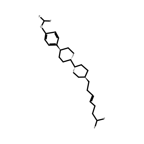 FC(F)CCC=CCC[C@H]1CC[C@H]([C@H]2CC[C@H](c3ccc(OC(F)F)cc3)CC2)CC1